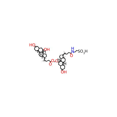 C[C@H](CCC(=O)NCCS(=O)(=O)O)[C@H]1CCC2[C@@H]3[C@@H](OCOC(=O)CC[C@H](C)[C@@H]4CCC5[C@H]6[C@H](O)CC7C[C@@H](O)CC[C@@]7(C)[C@@H]6CC[C@]54C)CC4C[C@H](O)CC[C@]4(C)[C@H]3CC[C@@]21C